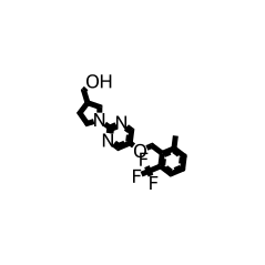 Cc1cccc(C(F)(F)F)c1COc1cnc(N2CCC(CO)C2)nc1